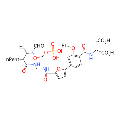 CCCCCC(C(=O)NCNC(=O)c1ccc(-c2ccc(C(=O)NC(CC(=O)O)C(=O)O)c(OCC)c2)o1)C(CC)N(C=O)OCOP(=O)(O)O